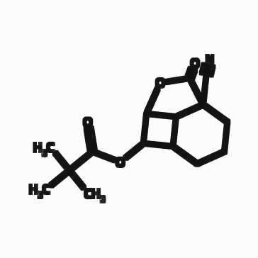 CC(C)(C)C(=O)OC1C2CCCC3(C#N)C(=O)OC1C23